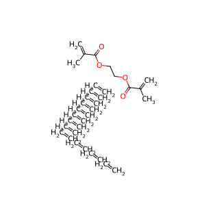 C=C.C=C.C=C.C=C.C=C.C=C.C=C.C=C.C=C.C=C.C=C.C=C.C=C(C)C(=O)OCCOC(=O)C(=C)C